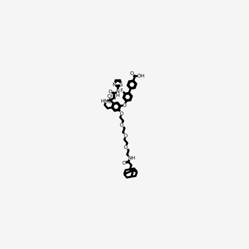 C[C@]1(CC(=O)Nc2nccs2)NCCc2cc(OCCOCCOCCOCCNC(=O)CC34CC5CC(CC(C5)C3)C4)c(Oc3ccc(-c4ccc(C(=O)O)cc4)c(F)c3)cc21